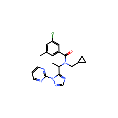 Cc1cc(Cl)cc(C(=O)N(CC2CC2)C(C)c2ncnn2-c2ncccn2)c1